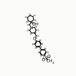 CS(=O)(=O)c1ccc(-c2ccc(OCC3CCN(CC4(O)CCCCC4)CC3)cc2)cc1